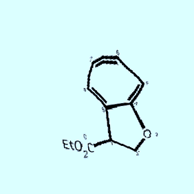 CCOC(=O)C1[C]Oc2ccccc21